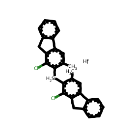 Cc1cc2c(c(Cl)c1[SiH2]c1c(C)cc3c(c1Cl)Cc1ccccc1-3)Cc1ccccc1-2.[Hf]